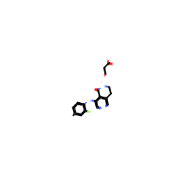 Cc1ccc(Nc2cncc3c2C(=O)N(OCCC(=O)O)CC3)c(F)c1